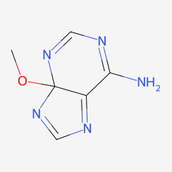 COC12N=CN=C(N)C1=NC=N2